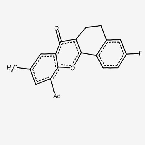 CC(=O)c1cc(C)cc2c(=O)c3c(oc12)-c1ccc(F)cc1CC3